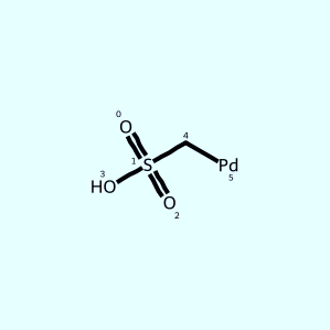 O=S(=O)(O)[CH2][Pd]